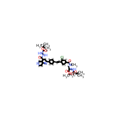 COC(=O)C(CN(C)C(=O)c1ccc(C#Cc2ccc(-c3cc(C(=O)NNC(=O)OC(C)(C)C)c4cnccc4n3)cc2)c(Cl)c1)NC(=O)OC(C)(C)C